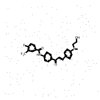 CN(CCO)c1ccc(/C=C/C(=O)c2ccc(NC(=O)c3ccc(F)c(C(F)(F)F)c3)cc2)cc1